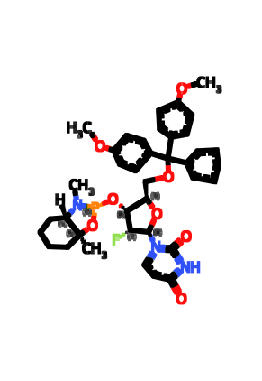 COc1ccc(C(OC[C@H]2O[C@@H](n3ccc(=O)[nH]c3=O)[C@H](F)[C@@H]2O[P@@]2O[C@@]3(C)CCCC[C@@H]3N2C)(c2ccccc2)c2ccc(OC)cc2)cc1